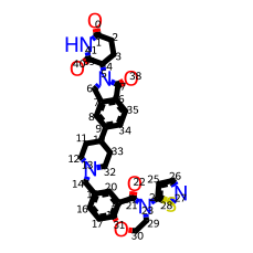 O=C1CCC(N2Cc3cc(C4CCN(Cc5ccc6c(c5)C(=O)N(c5ccns5)CCO6)CC4)ccc3C2=O)C(=O)N1